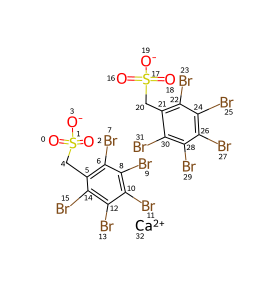 O=S(=O)([O-])Cc1c(Br)c(Br)c(Br)c(Br)c1Br.O=S(=O)([O-])Cc1c(Br)c(Br)c(Br)c(Br)c1Br.[Ca+2]